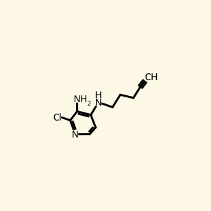 C#CCCCNc1ccnc(Cl)c1N